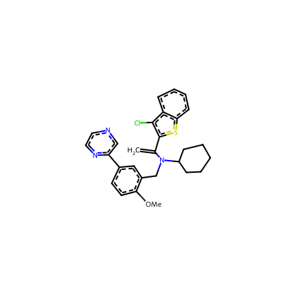 C=C(c1sc2ccccc2c1Cl)N(Cc1cc(-c2cnccn2)ccc1OC)C1CCCCC1